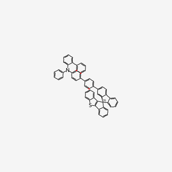 c1ccc(-c2ccccc2N(c2ccccc2)c2ccc(-c3ccc(-c4ccc5c(c4)[C@@]4(c6ccccc6-5)c5ccccc5-c5sc6ccccc6c54)cc3)cc2)cc1